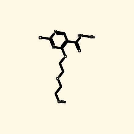 COCCOCCOc1nc(Cl)ncc1C(=O)NC(C)(C)C